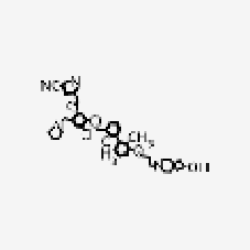 Cc1c(COc2cc(OCc3cncc(C#N)c3)c(CN3CCCCC3)cc2Cl)cccc1-c1cccc(OCCCN2CCC3(CC2)CC(O)C3)c1C